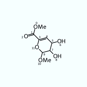 COC(=O)C1=CC(O)C(O)C(OC)O1